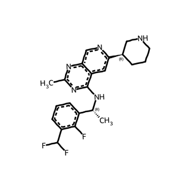 Cc1nc(N[C@H](C)c2cccc(C(F)F)c2F)c2cc([C@@H]3CCCNC3)ncc2n1